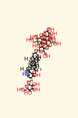 C[C@H]1[C@H]2[C@H](C[C@H]3[C@@H]4CC[C@H]5C[C@@H](O[C@@H]6O[C@H](CO)[C@H](O[C@@H]7O[C@H](CO)[C@@H](O)[C@H](O[C@@H]8OC[C@@H](O)[C@H](O)[C@H]8O)[C@H]7O[C@@H]7O[C@H](CO)[C@@H](O)[C@H](O)[C@H]7O)[C@H](O)[C@H]6O)CC[C@]5(C)[C@H]4CC[C@]23C)O[C@]2(O)C[C@H](CO[C@@H]3O[C@H](CO)[C@@H](O)[C@H](O)[C@H]3O)CN[C@H]12